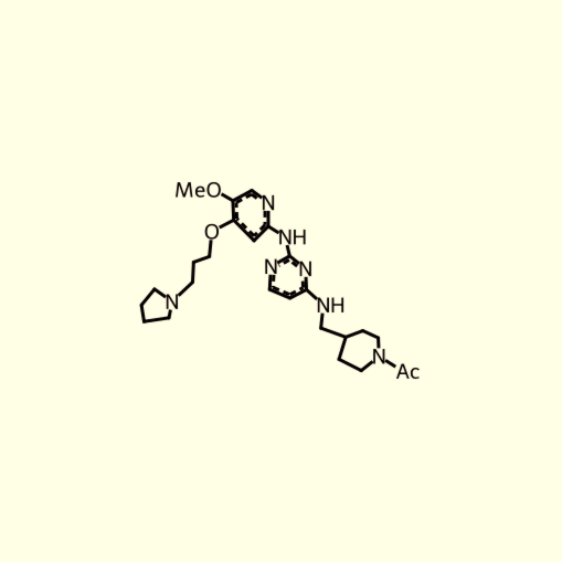 COc1cnc(Nc2nccc(NCC3CCN(C(C)=O)CC3)n2)cc1OCCCN1CCCC1